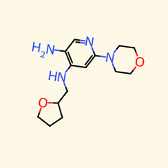 Nc1cnc(N2CCOCC2)cc1NCC1CCCO1